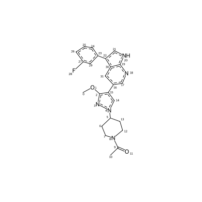 COc1nn(C2CCN(C(C)=O)CC2)cc1-c1cnc2[nH]cc(-c3cccc(F)c3)c2c1